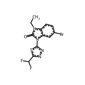 CCn1c(=O)n(-c2nnc(C(F)F)s2)c2cc(Br)ccc21